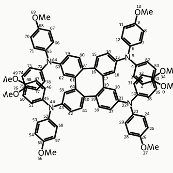 COc1ccc(N(c2ccc(OC)cc2)c2ccc3c(c2)-c2cc(N(c4ccc(OC)cc4)c4ccc(OC)cc4)ccc2-c2ccc(N(c4ccc(OC)cc4)c4ccc(OC)cc4)cc2-c2cc(N(c4ccc(OC)cc4)c4ccc(OC)cc4)ccc2-3)cc1